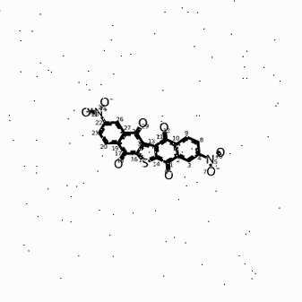 O=c1c2cc([N+](=O)[O-])ccc2c(=O)c2c1sc1c(=O)c3ccc([N+](=O)[O-])cc3c(=O)c12